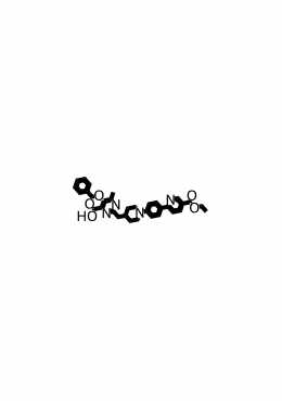 CCOC(=O)c1ccc(-c2ccc(N3CCC(Cc4nc(C)c(OCc5ccccc5)c(C(=O)O)n4)CC3)cc2)nc1